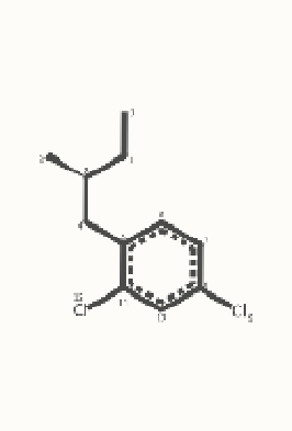 CC[C@H](C)Cc1ccc(Cl)cc1Cl